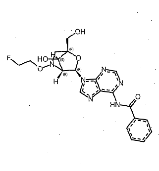 O=C(Nc1ncnc2c1ncn2[C@@H]1O[C@@]2(CO)CN(OCCF)[C@@H]1[C@@H]2O)c1ccccc1